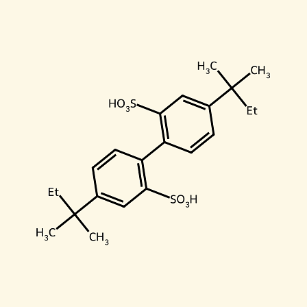 CCC(C)(C)c1ccc(-c2ccc(C(C)(C)CC)cc2S(=O)(=O)O)c(S(=O)(=O)O)c1